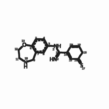 N=C(Nc1ccc2c(c1)CNCCO2)C1=CC(=S)CC=C1